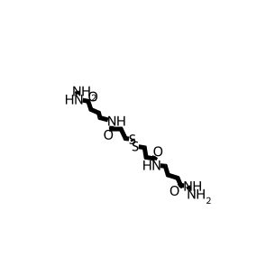 NNC(=O)CCCNC(=O)CCSSCCC(=O)NCCCC(=O)NN